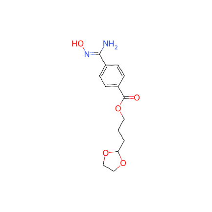 N/C(=N\O)c1ccc(C(=O)OCCCC2OCCO2)cc1